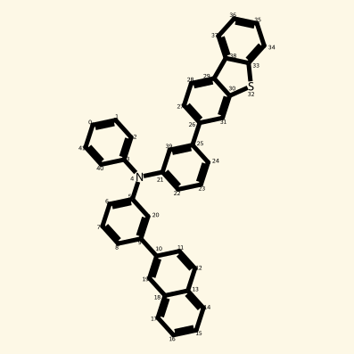 c1ccc(N(c2cccc(-c3ccc4ccccc4c3)c2)c2cccc(-c3ccc4c(c3)sc3ccccc34)c2)cc1